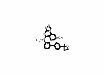 CN(c1cccc(-c2ccc(C3(C(F)(F)F)CCO3)cc2)c1)c1nc2nncn2c2cc(C#N)ccc12